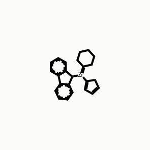 C1=CC[C]([Zr](=[C]2CCCCC2)[CH]2c3ccccc3-c3ccccc32)=C1